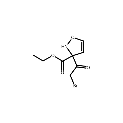 CCOC(=O)C1(C(=O)CBr)C=CON1